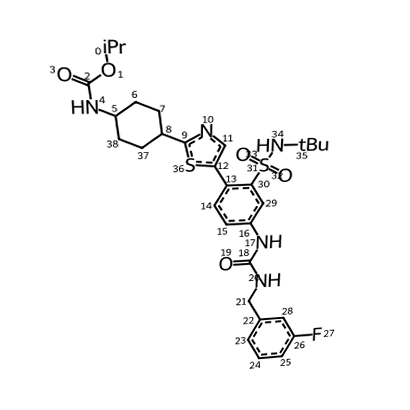 CC(C)OC(=O)NC1CCC(c2ncc(-c3ccc(NC(=O)NCc4cccc(F)c4)cc3S(=O)(=O)NC(C)(C)C)s2)CC1